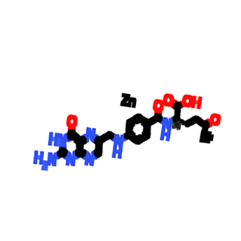 Nc1nc2ncc(CNc3ccc(C(=O)N[C@@H](CC[C](=O)[Bi])C(=O)O)cc3)nc2c(=O)[nH]1.[Zn]